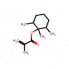 C=C(C)C(=O)OC1(C)C(C)CCCC1C